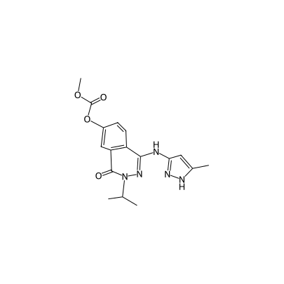 COC(=O)Oc1ccc2c(Nc3cc(C)[nH]n3)nn(C(C)C)c(=O)c2c1